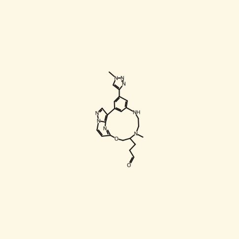 CN1CCNc2cc(-c3cn(C)nn3)cc(c2)-c2cnn3ccc(nc23)OCC1CCC=O